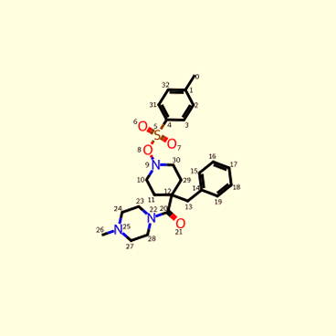 Cc1ccc(S(=O)(=O)ON2CCC(Cc3ccccc3)(C(=O)N3CCN(C)CC3)CC2)cc1